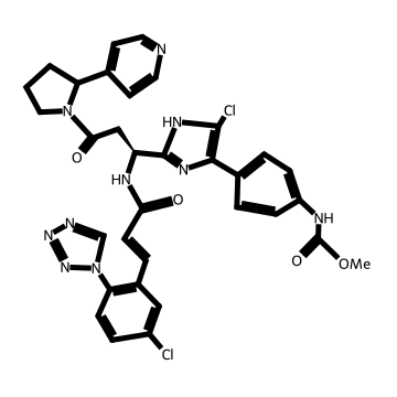 COC(=O)Nc1ccc(-c2nc([C@H](CC(=O)N3CCCC3c3ccncc3)NC(=O)/C=C/c3cc(Cl)ccc3-n3cnnn3)[nH]c2Cl)cc1